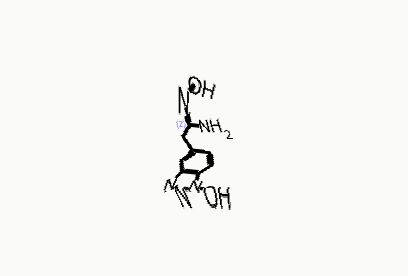 N/C(Cc1ccc2c(c1)nnn2O)=N\O